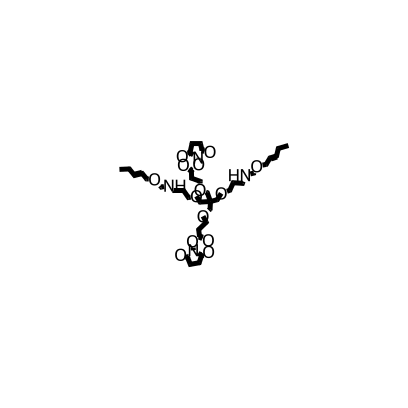 CCC=CCOCNCCCOCC(COCCCNCOCC=CCC)(COCCC(=O)ON1C(=O)CCC1=O)COCCC(=O)ON1C(=O)CCC1=O